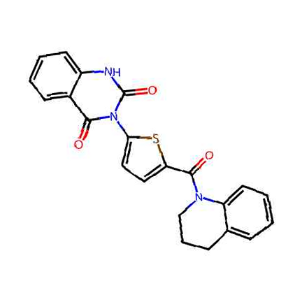 O=C(c1ccc(-n2c(=O)[nH]c3ccccc3c2=O)s1)N1CCCc2ccccc21